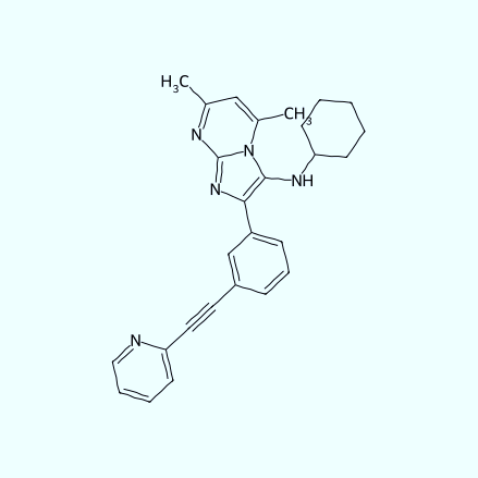 Cc1cc(C)n2c(NC3CCCCC3)c(-c3cccc(C#Cc4ccccn4)c3)nc2n1